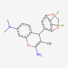 CN(C)c1ccc2c(c1)OC(N)=C(C#N)C2c1cc2c(F)c(F)c1OCO2